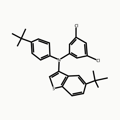 CC(C)(C)c1ccc(N(c2cc(Cl)cc(Cl)c2)c2csc3ccc(C(C)(C)C)cc23)cc1